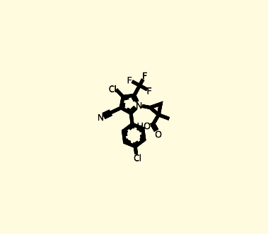 CC1(C(=O)O)CC1n1c(-c2ccc(Cl)cc2)c(C#N)c(Cl)c1C(F)(F)F